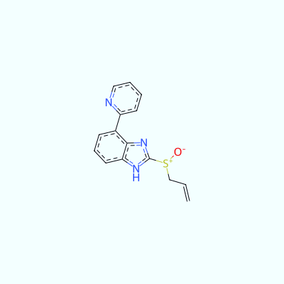 C=CC[S+]([O-])c1nc2c(-c3ccccn3)cccc2[nH]1